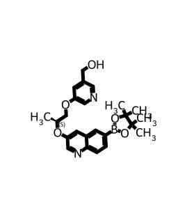 C[C@@H](COc1cncc(CO)c1)Oc1cnc2ccc(B3OC(C)(C)C(C)(C)O3)cc2c1